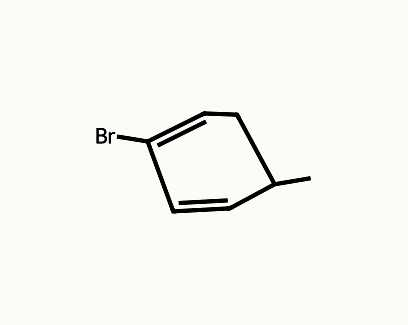 CC1C=CC(Br)=CC1